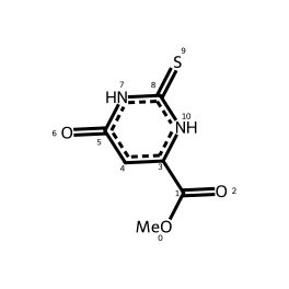 COC(=O)c1cc(=O)[nH]c(=S)[nH]1